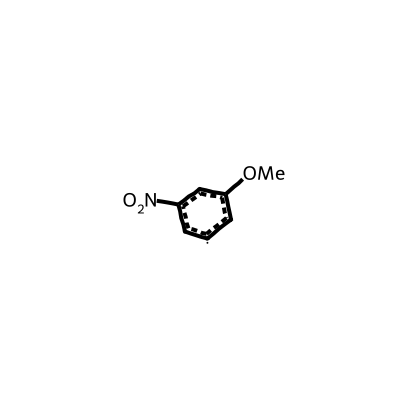 COc1c[c]cc([N+](=O)[O-])c1